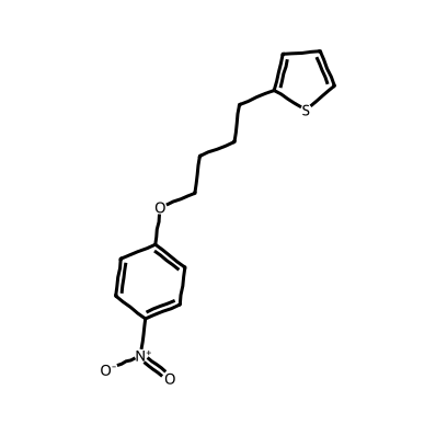 O=[N+]([O-])c1ccc(OCCCCc2cccs2)cc1